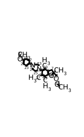 COCOCC1(C)Cc2c(C)c(N3CCN(c4ccc(OC)cc4)CC3)c(C)c(C)c2O1